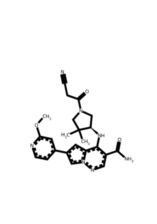 COc1cc(-c2cc3c(N[C@@H]4CN(C(=O)CC#N)CC4(C)C)c(C(N)=O)cnn3c2)ccn1